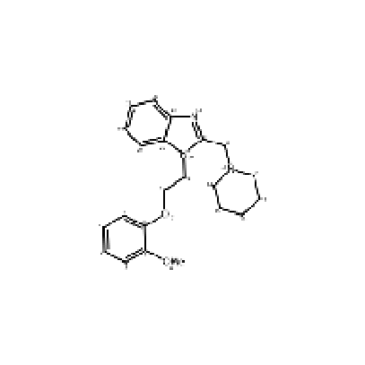 COc1ccccc1OCCn1c(CN2CCCCC2)nc2ccccc21